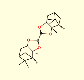 CC1(C)C2CC3OB(B4OC5CC6C[C@@H](C6(C)C)[C@]5(C)O4)O[C@@]3(C)[C@H]1C2